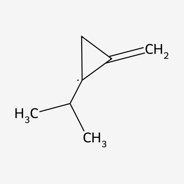 C=C1C[C]1C(C)C